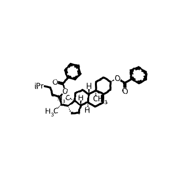 CC(C)CCC(OC(=O)c1ccccc1)[C@@H](C)[C@H]1CC[C@H]2[C@@H]3CC=C4C[C@@H](OC(=O)c5ccccc5)CC[C@]4(C)[C@H]3CC[C@]12C